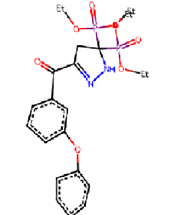 CCOP(=O)(OCC)C1(P(=O)(OCC)OCC)CC(C(=O)c2cccc(Oc3ccccc3)c2)=NN1